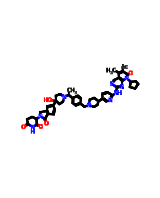 CC(=O)c1c(C)c2cnc(Nc3ccc(C4CCN(Cc5ccc([C@H](C)N6CCC(O)(c7ccc8c(c7)CN(C7CCC(=O)NC7=O)C8=O)CC6)cc5)CC4)cn3)nc2n(C2CCCC2)c1=O